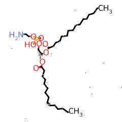 CCCCC/C=C\CCCCCCCC(=O)OC[C@H](COP(=O)(O)OCCN)OC(=O)CCCCCCCCCCCCCCC